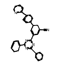 N#CC1=CC(c2nc(C3=CC=CCC3)nc(-c3ccccc3)n2)=CC(c2ccc(-c3ccccn3)cc2)C1